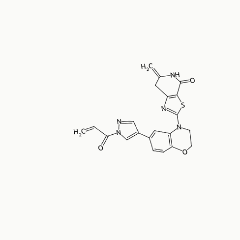 C=CC(=O)n1cc(-c2ccc3c(c2)N(c2nc4c(s2)C(=O)NC(=C)C4)CCO3)cn1